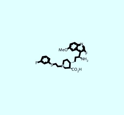 COc1ccc2ncc(F)c([C@@H](N)CC[C@H]3CCN(CCSc4cccc(F)c4)C[C@H]3C(=O)O)c2c1